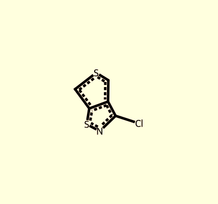 Clc1nsc2cscc12